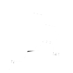 CC(C)c1ccc2c(c1)[C@H](CCN(C)C)CN2